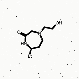 CCC1CCN(CCO)CC(=O)N1